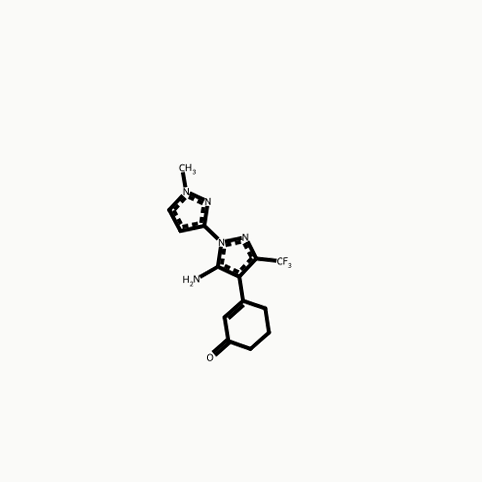 Cn1ccc(-n2nc(C(F)(F)F)c(C3=CC(=O)CCC3)c2N)n1